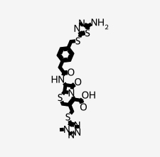 Cn1nnnc1SCC1=C(C(=O)O)N2C(=O)C(NC(=O)Cc3ccc(CSc4nnc(N)s4)cc3)C2SC1